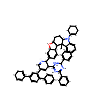 CC12c3ccccc3N(C3=CCCCC3)C1CCC1OC3C=C(C4N=CC(c5cc(C6=CCCC=C6)ccc5-c5ccccc5)=CC4C4=NC(c5ccccc5)=NC(c5ccccc5)N4)C=CC3C12